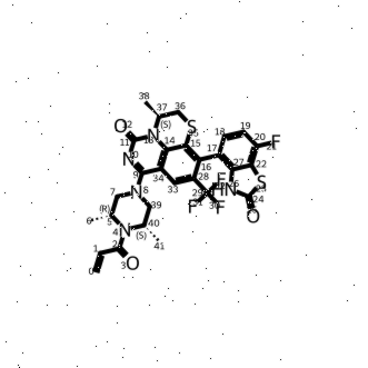 C=CC(=O)N1[C@H](C)CN(c2nc(=O)n3c4c(c(-c5ccc(F)c6sc(=O)[nH]c56)c(C(F)(F)F)cc24)SC[C@@H]3C)C[C@@H]1C